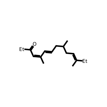 CCC(=O)C=C(C)C=CCC(C)CC=C(C)CC